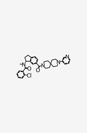 CN(C(=O)c1ccccc1Cl)C1CCc2ccc(C(=O)N3CCC4(CC3)CCN(c3cccnc3)CC4)cc21